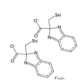 O=C([O-])C1(CS)N=c2ccccc2=N1.O=C([O-])C1(CS)N=c2ccccc2=N1.[Cu+2]